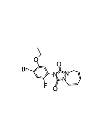 CCOc1cc(-n2c(=O)n3n(c2=O)CC=CC=C3)c(F)cc1Br